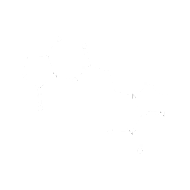 O=C(CCn1ccnc1[N+](=O)[O-])ON1C(=O)CCC1=O